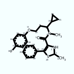 CC1NC(C(=O)N(C)C(CCOc2ccc(F)cc2)C2CC2)=C(c2ccccc2)S1